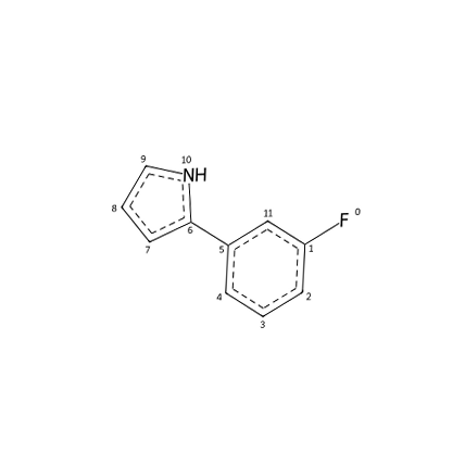 Fc1cccc(-c2ccc[nH]2)c1